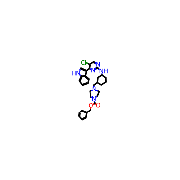 O=C(OCc1ccccc1)N1CCN(CC2CCCC(Nc3ncc(Cl)c(-c4c[nH]c5ccccc45)n3)C2)CC1